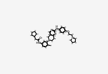 Cc1ccc(NC(=O)CC2CCCC2)cc1N1CCc2nc(Nc3ccc(OCCN4CCCC4)cc3)ncc2C1